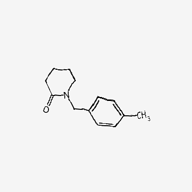 Cc1ccc(CN2CCCCC2=O)cc1